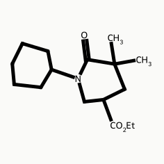 CCOC(=O)C1CN(C2CCCCC2)C(=O)C(C)(C)C1